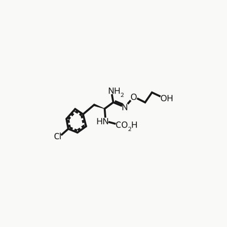 N/C(=N\OCCO)[C@H](Cc1ccc(Cl)cc1)NC(=O)O